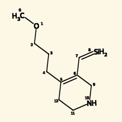 COCCCC1=C(C=[SiH2])CNCC1